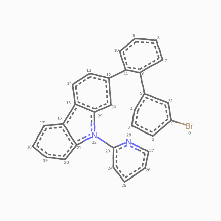 Brc1cccc(-c2ccccc2-c2ccc3c4ccccc4n(-c4ccccn4)c3c2)c1